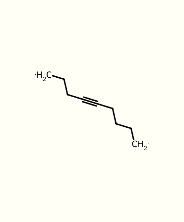 [CH2]CCC#CCCC[CH2]